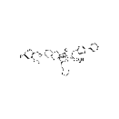 O=C(O)[C@H](Cc1ccc(-c2ccccc2)cc1)NC(=O)[C@@H]1Cc2ccc(OCc3ccc(F)cc3C(F)(F)F)cc2CN1C(=O)CC1CCCC1